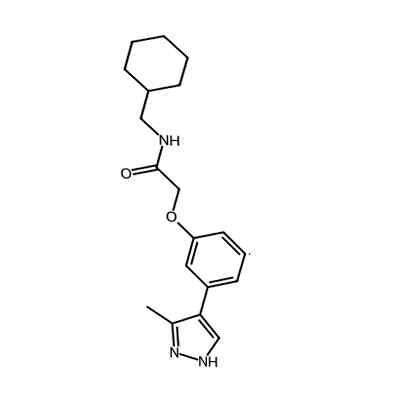 Cc1n[nH]cc1-c1c[c]cc(OCC(=O)NCC2CCCCC2)c1